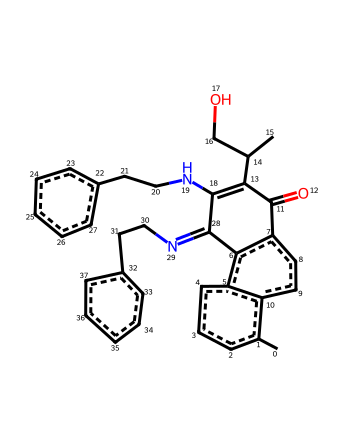 Cc1cccc2c3c(ccc12)C(=O)C(C(C)CO)=C(NCCc1ccccc1)C3=NCCc1ccccc1